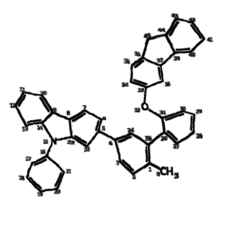 Cc1ccc(-c2ccc3c4ccccc4n(-c4ccccc4)c3c2)cc1-c1ccccc1Oc1ccc2c(c1)-c1ccccc1C2